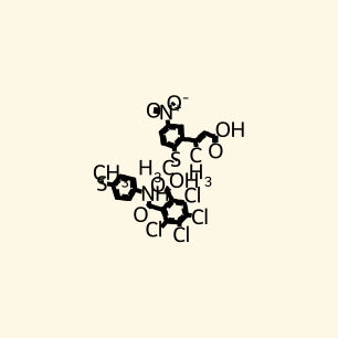 CSc1ccc(NC(=O)c2c(Cl)c(Cl)c(Cl)c(Cl)c2C(=O)O)cc1.CSc1ccc([N+](=O)[O-])cc1C(C)=CC(=O)O